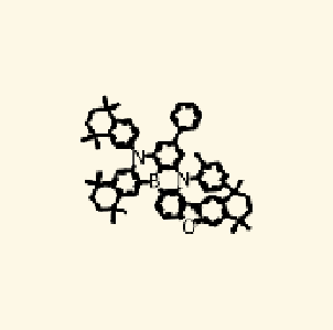 Cc1ccccc1N1c2cc(-c3ccccc3)cc3c2B(c2cc4c(cc2N3c2ccc3c(c2)C(C)(C)CCC3(C)C)C(C)(C)CCC4(C)C)c2ccc3oc4cc5c(cc4c3c21)C(C)(C)CCC5(C)C